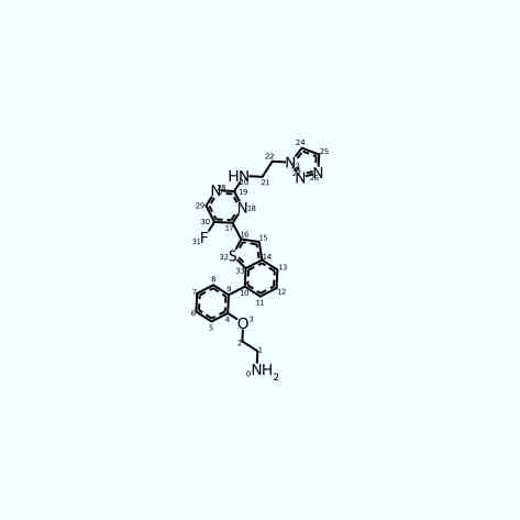 NCCOc1ccccc1-c1cccc2cc(-c3nc(NCCn4ccnn4)ncc3F)sc12